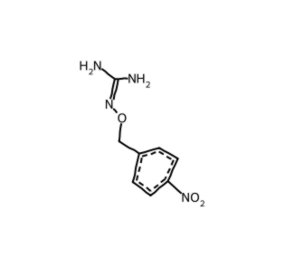 NC(N)=NOCc1ccc([N+](=O)[O-])cc1